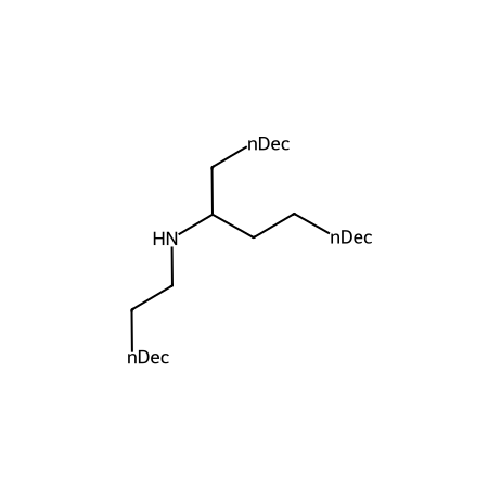 CCCCCCCCCCCCNC(CCCCCCCCCCC)CCCCCCCCCCCC